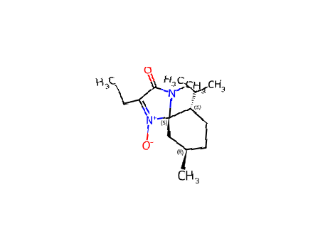 CCC1=[N+]([O-])[C@]2(C[C@H](C)CC[C@H]2C(C)C)N(C)C1=O